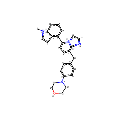 Cn1ccc2c(-c3ccc(Cc4ccc(N5CCOCC5)cc4)c4nccn34)cccc21